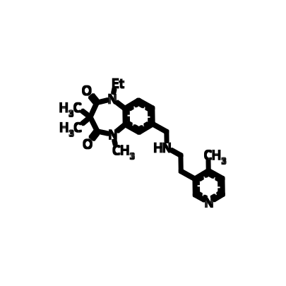 CCN1C(=O)C(C)(C)C(=O)N(C)c2cc(CNCCc3cnccc3C)ccc21